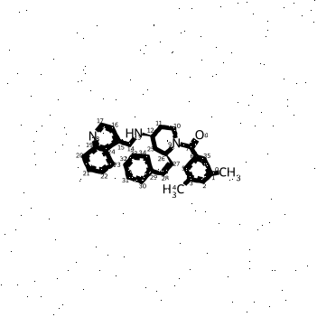 Cc1cc(C)cc(C(=O)N2CC[C@H](NCc3ccnc4ccccc34)C[C@@H]2C=Cc2ccccc2)c1